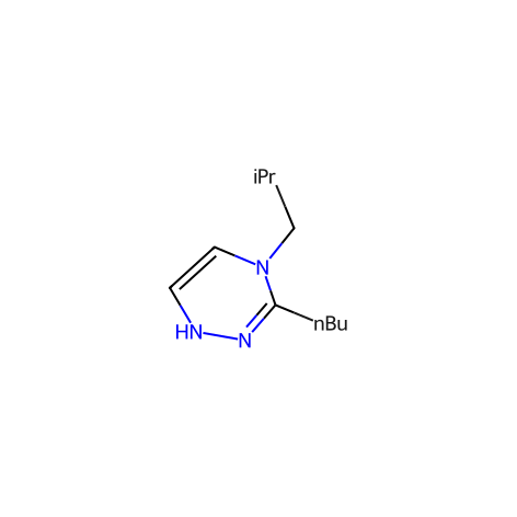 CCCCC1=NNC=CN1CC(C)C